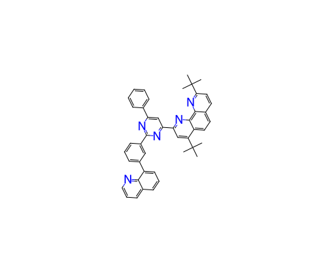 CC(C)(C)c1ccc2ccc3c(C(C)(C)C)cc(-c4cc(-c5ccccc5)nc(-c5cccc(-c6cccc7cccnc67)c5)n4)nc3c2n1